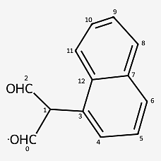 O=[C]C(C=O)c1cccc2ccccc12